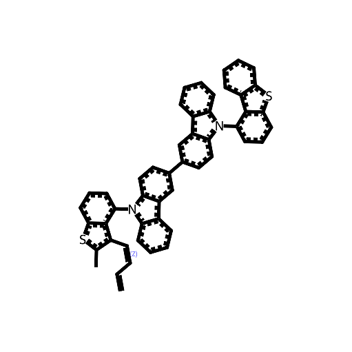 C=C/C=C\c1c(C)sc2cccc(-n3c4ccccc4c4cc(-c5ccc6c(c5)c5ccccc5n6-c5cccc6sc7ccccc7c56)ccc43)c12